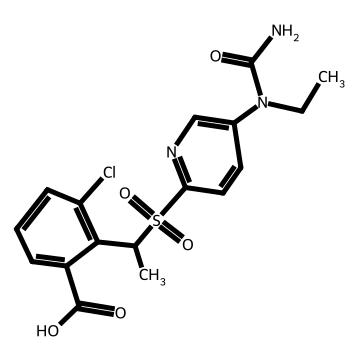 CCN(C(N)=O)c1ccc(S(=O)(=O)C(C)c2c(Cl)cccc2C(=O)O)nc1